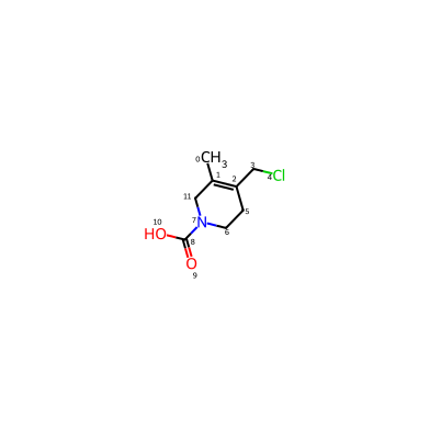 CC1=C(CCl)CCN(C(=O)O)C1